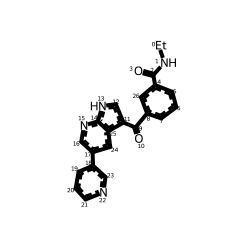 CCNC(=O)c1cccc(C(=O)c2c[nH]c3ncc(-c4cccnc4)cc23)c1